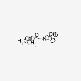 CC(C)(C#N)c1ccc(C(=O)CCCN2CCC(C(O)(c3ccccc3)c3ccccc3)CC2)cc1